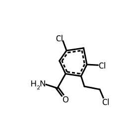 NC(=O)c1cc(Cl)cc(Cl)c1CCCl